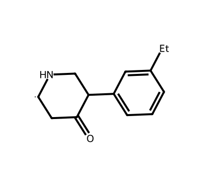 CCc1cccc(C2CN[CH]CC2=O)c1